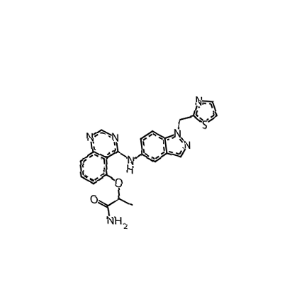 CC(Oc1cccc2ncnc(Nc3ccc4c(cnn4Cc4nccs4)c3)c12)C(N)=O